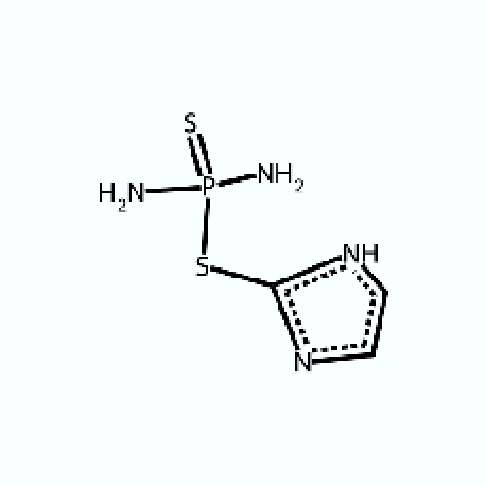 NP(N)(=S)Sc1ncc[nH]1